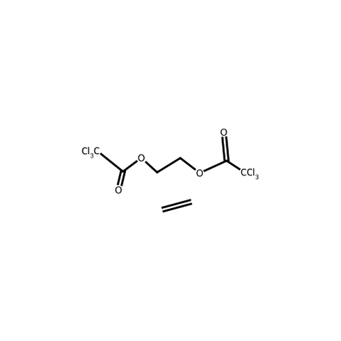 C=C.O=C(OCCOC(=O)C(Cl)(Cl)Cl)C(Cl)(Cl)Cl